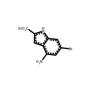 CCOC(=O)c1cc2c(N)cc(Br)cc2[nH]1